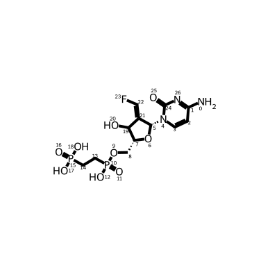 Nc1ccn([C@@H]2O[C@H](COP(=O)(O)CCP(=O)(O)O)C(O)/C2=C\F)c(=O)n1